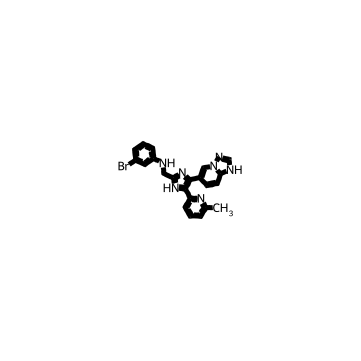 Cc1cccc(-c2[nH]c(CNc3cccc(Br)c3)nc2C2=CN3N=CNC3C=C2)n1